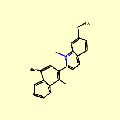 Cc1c(-c2ccc3ccc(CC(C)(C)C)cc3[n+]2C)cc(C(C)(C)C)c2ccccc12